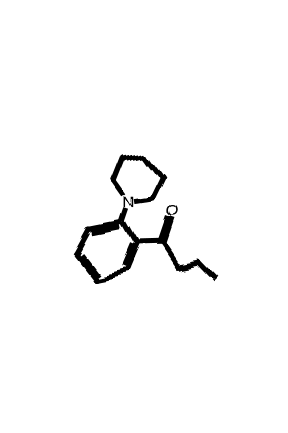 CCCC(=O)c1ccccc1N1CCCCC1